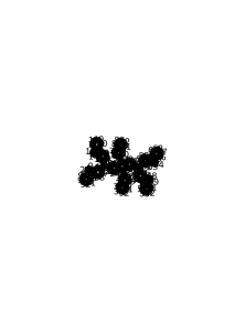 CC1(C)C2=CC(N(c3ccc4c(c3)C(C)(C)C3C=CC=CC43)c3ccc4c(-c5ccc6ccccc6c5)c5cc(N(c6ccc7c(c6)C(C)(C)c6ccccc6-7)c6ccc7c(c6)C(C)(C)c6ccccc6-7)ccc5c(-c5ccc6c(c5)CCC=C6)c4c3)=CCC2c2ccccc21